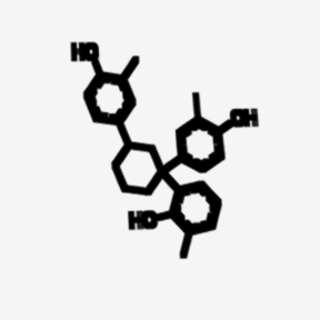 Cc1cc(C2CCCC(c3ccc(O)c(C)c3)(c3cccc(C)c3O)C2)ccc1O